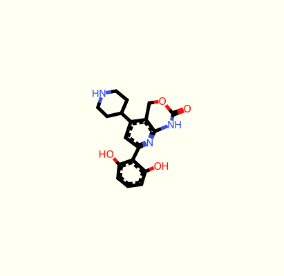 O=C1Nc2nc(-c3c(O)cccc3O)cc(C3CCNCC3)c2CO1